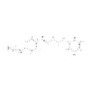 CSc1ccc(C=CCCCc2ccccc2)cc1